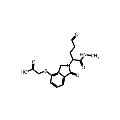 CNC(=O)C(CCC=O)N1Cc2c(SCC(=O)O)cccc2C1=O